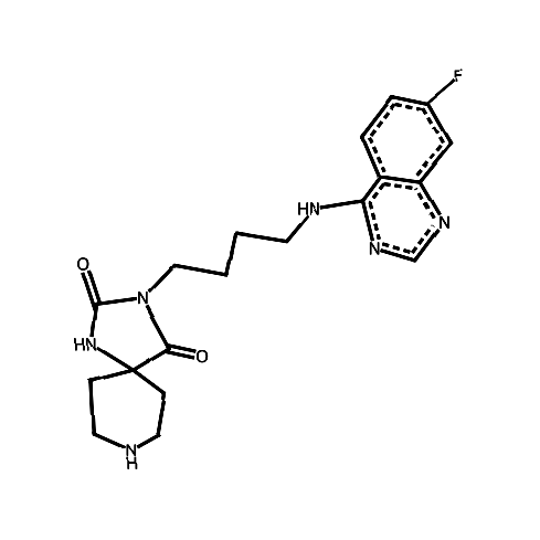 O=C1NC2(CCNCC2)C(=O)N1CCCCNc1ncnc2cc(F)ccc12